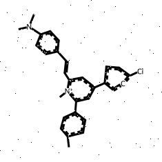 Cc1ccc(-c2cc(-c3ccc(Cl)cc3)cc(/C=C/c3ccc(N(C)C)cc3)[n+]2C)cc1